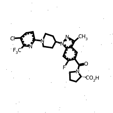 Cc1nn(C2CCN(c3ccc(Cl)c(C(F)(F)F)n3)CC2)c2cc(F)c(C(=O)N3CCC[C@H]3C(=O)O)cc12